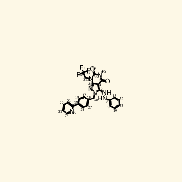 Cn1c(=O)c2c(NNc3ccccc3)n(Cc3ccc(-c4ccccn4)cc3)nc2n(CC(F)(F)F)c1=O